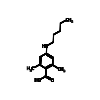 CCCCCNc1cc(C)c(S(=O)O)c(C)c1